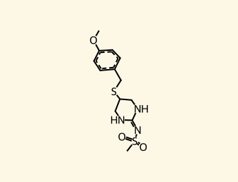 COc1ccc(CSC2CNC(=NS(C)(=O)=O)NC2)cc1